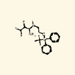 CN(CCO[Si](c1ccccc1)(c1ccccc1)C(C)(C)C)C(N)C(F)C(F)F